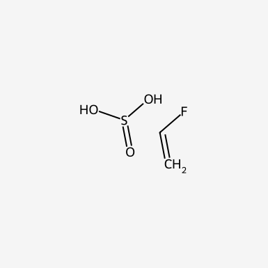 C=CF.O=S(O)O